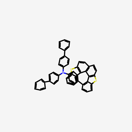 c1ccc(-c2ccc(N(c3ccc(-c4ccccc4)cc3)c3ccc(-c4cccc5sc6ccc7ccc8sc9ccccc9c8c7c6c45)cc3)cc2)cc1